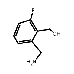 NCc1cccc(F)c1CO